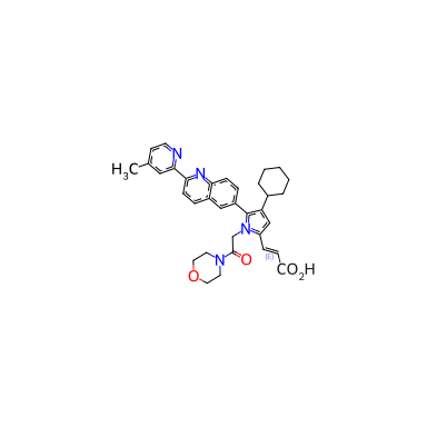 Cc1ccnc(-c2ccc3cc(-c4c(C5CCCCC5)cc(/C=C/C(=O)O)n4CC(=O)N4CCOCC4)ccc3n2)c1